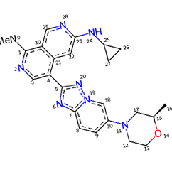 CNc1ncc(-c2nc3ccc(N4CCO[C@H](C)C4)cn3n2)c2cc(NC3CC3)ncc12